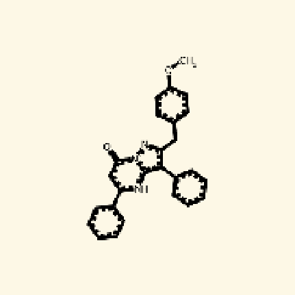 COc1ccc(Cc2nn3c(=O)cc(-c4ccccc4)[nH]c3c2-c2ccccc2)cc1